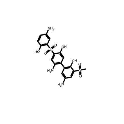 CS(=O)(=O)c1cc(N)cc(-c2cc(O)c(S(=O)(=O)c3cc(N)ccc3O)cc2N)c1O